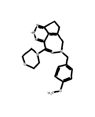 COc1ccc(CN2CC3=C4C(=NNN=C4C(N4CCOCC4)=N2)CC3)cc1